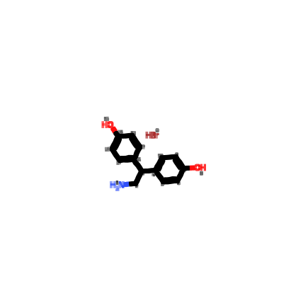 Br.NCC(c1ccc(O)cc1)c1ccc(O)cc1